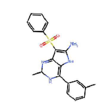 Cc1cccc(C2=c3[nH]c(N)c(S(=O)(=O)c4ccccc4)c3=NC(C)N2)c1